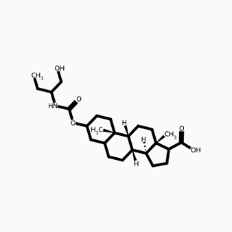 CCC(CO)NC(=O)OC1CC[C@@]2(C)C(CC[C@@H]3[C@H]2CC[C@]2(C)C(C(=O)O)CC[C@@H]32)C1